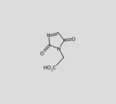 O=C(O)CN1C(=O)C=NC1=O